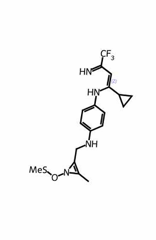 CSON1C(C)=C1CNc1ccc(N/C(=C\C(=N)C(F)(F)F)C2CC2)cc1